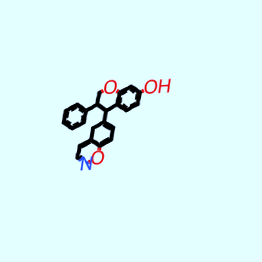 Oc1ccc2c(c1)OCC(c1ccccc1)C2C1=CC=C2ON=CC=C2C1